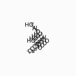 [Ca].[Ca].[Ca].[O]=[Al][OH].[O]=[Al][OH].[O]=[Al][OH].[O]=[Al][OH].[O]=[Al][OH]